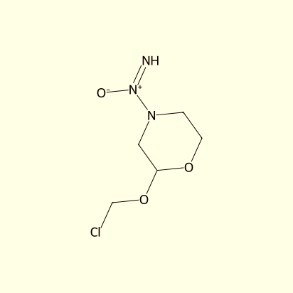 N=[N+]([O-])N1CCOC(OCCl)C1